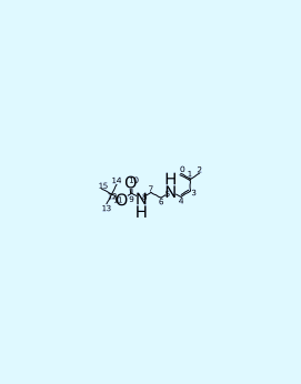 C=C(C)/C=C\NCCNC(=O)OC(C)(C)C